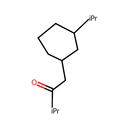 CC(C)C(=O)CC1CCCC(C(C)C)C1